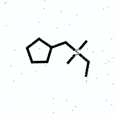 CCS(C)(C)CC1CCCC1